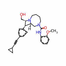 COc1ccccc1NC(=O)N1CCCCN2[C@H](CO)[C@H](c3ccc(C#CC4CC4)cc3)[C@H]2C1